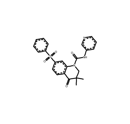 CC1(C)CN(C(=O)Nc2cccnc2)c2cc(S(=O)(=O)c3ccccc3)ccc2C1=O